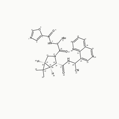 CC(C)(C)C(NC(=O)c1cnco1)C(=O)N1C[C@H]2[C@@H]([C@H]1C(=O)NC(C#N)c1cncc3cccnc13)C2(C)C